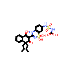 CCCC1(CCC)C(=O)C(C2=NS(O)(O)c3cc(NS(=O)(=O)NC(=O)O)ccc3N2)=C(O)c2ccccc21